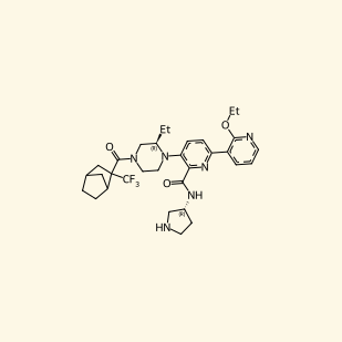 CCOc1ncccc1-c1ccc(N2CCN(C(=O)C3(C(F)(F)F)CC4CCC3C4)C[C@H]2CC)c(C(=O)N[C@@H]2CCNC2)n1